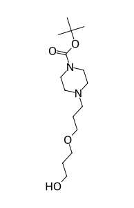 CC(C)(C)OC(=O)N1CCN(CCCOCCCO)CC1